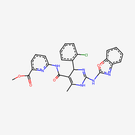 COC(=O)c1cccc(NC(=O)C2=C(C)NC(Nc3nc4ccccc4o3)=NC2c2ccccc2Cl)n1